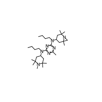 CCCCN(c1nc(C)nc(N(CCCC)C2CC(C)(C)N3CC3(C)C2)n1)C1CC(C)(C)N(C)C(C)(C)C1